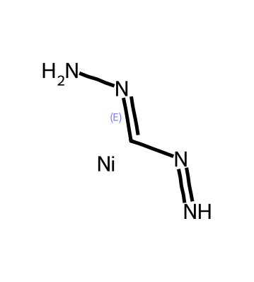 N=N/C=N/N.[Ni]